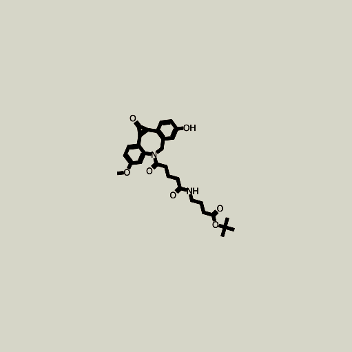 COc1ccc2c(c1)N(C(=O)CCCC(=O)NCCCC(=O)OC(C)(C)C)Cc1cc(O)ccc1-c1c-2c1=O